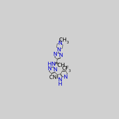 C[C@@H](Nc1ncc(C#N)c(-c2c[nH]c3ncc(C(F)(F)F)cc23)n1)c1cnc(N2CCN(C)CC2)nc1